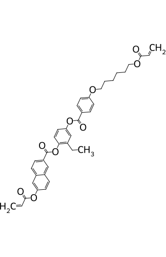 C=CC(=O)OCCCCCCOc1ccc(C(=O)Oc2ccc(OC(=O)c3ccc4cc(OC(=O)C=C)ccc4c3)c(CC)c2)cc1